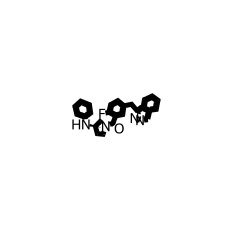 O=C(c1cc(Cc2nncc3ccccc23)ccc1F)N1CC[C@@H](Nc2ccccc2)C1